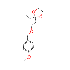 CCC1(CCOCc2ccc(OC)cc2)OCCO1